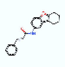 O=C(/C=C/c1ccccc1)Nc1ccc2oc3c(c2c1)CCCC3